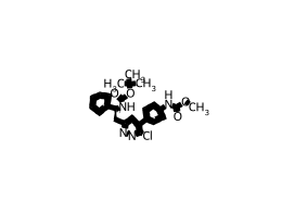 COC(=O)Nc1ccc(-c2cc(C[C@H](NC(=O)OC(C)(C)C)c3ccccc3)nnc2Cl)cc1